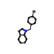 CCc1ccc(Cn2c[c]c3ccccc32)cc1